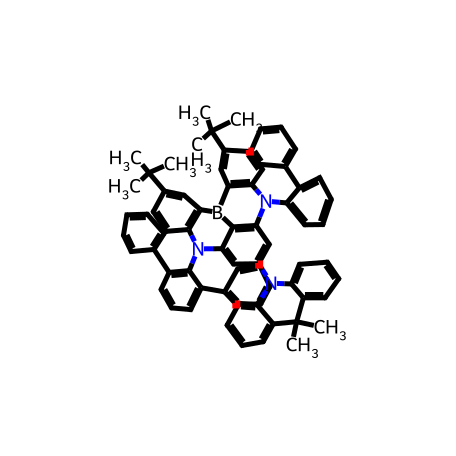 CC(C)(C)c1ccc2c(c1)B1c3cc(C(C)(C)C)ccc3N(c3c(-c4ccccc4)cccc3-c3ccccc3)c3cc(N4c5ccccc5C(C)(C)c5ccccc54)cc(c31)N2c1ccccc1-c1ccccc1